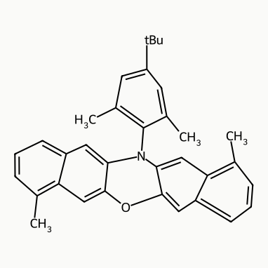 Cc1cc(C(C)(C)C)cc(C)c1N1c2cc3cccc(C)c3cc2Oc2cc3cccc(C)c3cc21